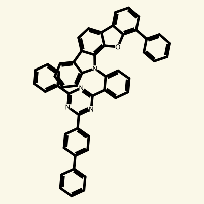 c1ccc(-c2ccc(-c3nc(-c4ccccc4)nc(-c4ccccc4-n4c5ccccc5c5ccc6c7cccc(-c8ccccc8)c7oc6c54)n3)cc2)cc1